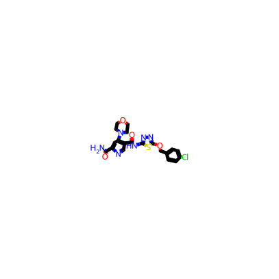 NC(=O)c1cc(N2CCOCC2)c(C(=O)Nc2nnc(OCc3ccc(Cl)cc3)s2)cn1